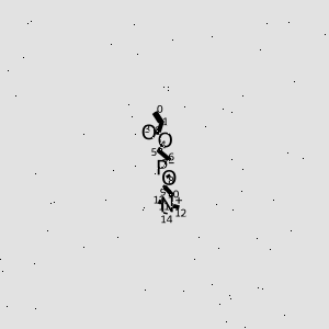 C=CC(=O)OCC[P-]OCC[N+](C)(C)C